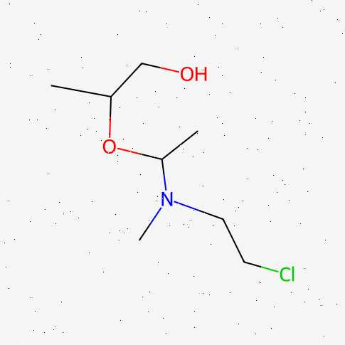 CC(CO)OC(C)N(C)CCCl